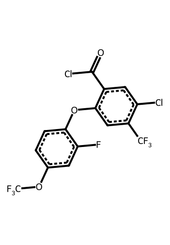 O=C(Cl)c1cc(Cl)c(C(F)(F)F)cc1Oc1ccc(OC(F)(F)F)cc1F